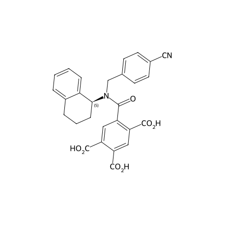 N#Cc1ccc(CN(C(=O)c2cc(C(=O)O)c(C(=O)O)cc2C(=O)O)[C@H]2CCCc3ccccc32)cc1